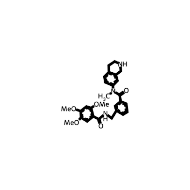 COc1cc(OC)c(C(=O)NCc2cccc(C(=O)N(C)c3ccc4c(c3)CNCC4)c2)cc1OC